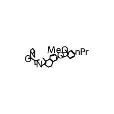 CCCc1ccc(COc2ccc3c(c2)CCC(CN2CC(C(=O)N4CCC4)C2)=C3C)c(OC)c1